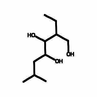 CCC(CO)C(O)C(O)CC(C)C